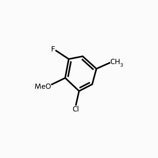 COc1c(F)cc(C)cc1Cl